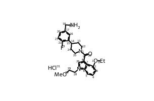 CCOc1cccc2c1c(C(=O)N1CCC(c3cc(CN)ccc3F)CC1)cn2CCOC.Cl